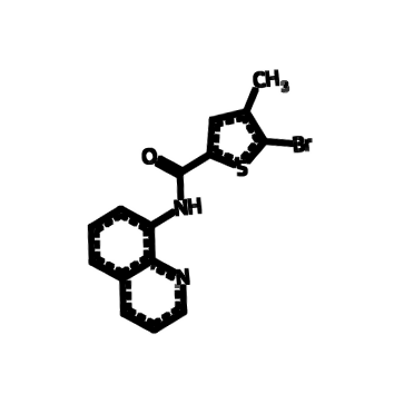 Cc1cc(C(=O)Nc2cccc3cccnc23)sc1Br